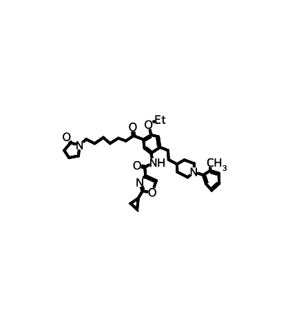 CCOc1cc(CCC2CCN(c3ccccc3C)CC2)c(NC(=O)c2coc(C3CC3)n2)cc1C(=O)CCCCCCN1CCCC1=O